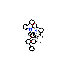 CC1(C)c2ccccc2-c2ccc(N(c3ccccc3-c3ccccc3)c3cccc4c5ccccc5n(-c5ccc(-c6cccc(-c7ccccc7)c6)cc5)c34)cc21